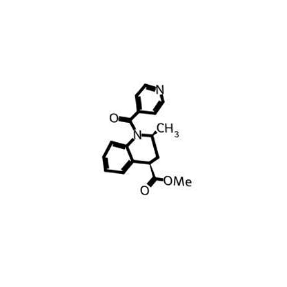 COC(=O)[C@@H]1C[C@H](C)N(C(=O)c2ccncc2)c2ccccc21